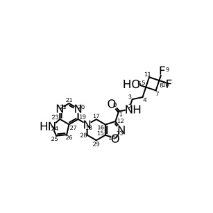 O=C(NCCC1(O)CC(F)(F)C1)c1noc2c1CN(c1ncnc3[nH]ccc13)CC2